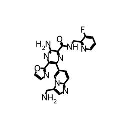 NCc1cnc2ccc(-c3nc(C(=O)NCc4ncccc4F)c(N)nc3-c3ncco3)cn12